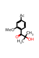 COc1cc(C(C)=O)ccc1C(=O)C(C)(C)O